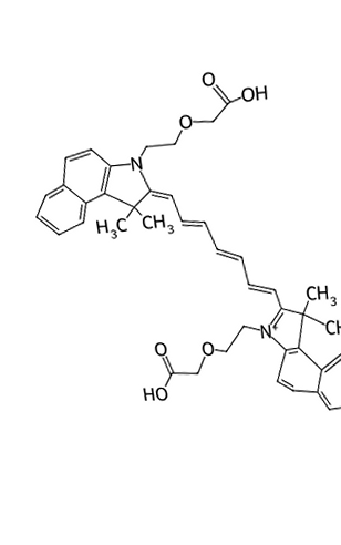 CC1(C)C(/C=C/C=C/C=C/C=C2/N(CCOCC(=O)O)c3ccc4ccccc4c3C2(C)C)=[N+](CCOCC(=O)O)c2ccc3ccccc3c21